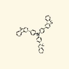 CC1(C)C(c2ccc(N(c3ccc(-c4ccc5sc6ccccc6c5c4)cc3)c3ccc(-c4ccc5sc6ccccc6c5c4)cc3)cc2)=Cc2ccccc21